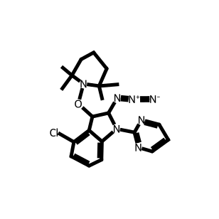 CC1(C)CCCC(C)(C)N1OC1c2c(Cl)cccc2N(c2ncccn2)C1N=[N+]=[N-]